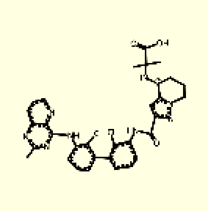 Cc1nc(Nc2cccc(-c3cccc(NC(=O)c4cc5n(n4)CCC[C@@H]5NC(C)(C)C(=O)O)c3Cl)c2Cl)c2ncccc2n1